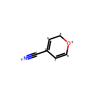 N#CC1=CCOC=C1